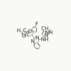 Cc1cc(Nc2nc(C(CS(C)(=O)=O)c3ccc(F)cc3)nc3ccccc23)n[nH]1